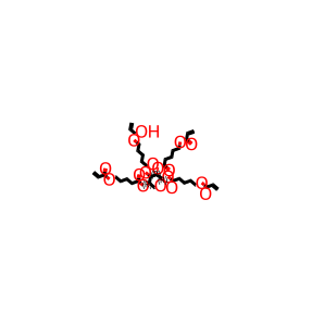 C=CC(=O)OCCCCC(=O)O[C@H]1OC[C@@H](OC(=O)CCCCOC(=O)C=C)C(OC(=O)CCCCOC(O)C=C)[C@H]1OC(=O)CCCCOC(=O)C=C